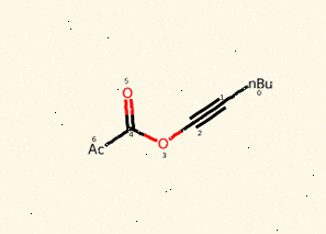 CCCCC#COC(=O)C(C)=O